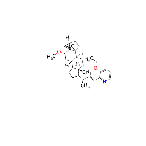 CCOc1cccnc1/C=C/[C@@H](C)[C@H]1CC[C@H]2[C@@H]3CC(OC)C45C[C@H]4CC[C@]5(C)[C@H]3CC[C@]12C